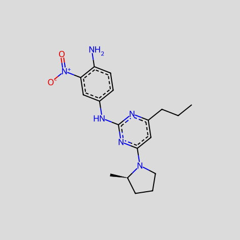 CCCc1cc(N2CCC[C@H]2C)nc(Nc2ccc(N)c([N+](=O)[O-])c2)n1